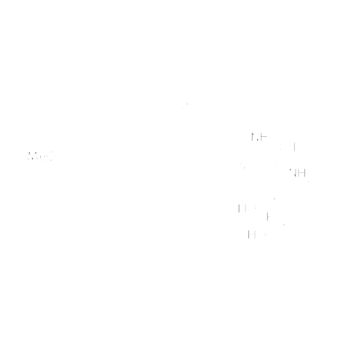 COc1ccc(CCCCOc2ccc(NC(=O)C(C)(N)COP(=O)(O)O)cc2)cc1